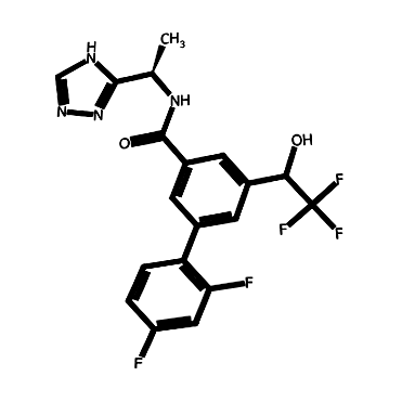 C[C@@H](NC(=O)c1cc(-c2ccc(F)cc2F)cc(C(O)C(F)(F)F)c1)c1nnc[nH]1